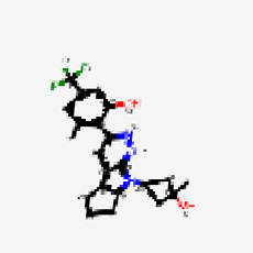 Cc1cc(C(F)(F)F)cc(O)c1-c1cc2c3c(n(C4CC(C)(O)C4)c2nn1)CCC3